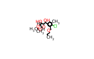 C=CCOCc1cc([C@H](O)[C@@H]2O[C@H]3OC(C)(C)O[C@H]3[C@@H]2O)cc(C)c1Cl